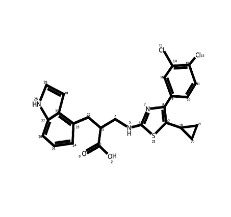 O=C(O)C(CNc1nc(-c2ccc(Cl)c(Cl)c2)c(C2CC2)s1)Cc1cccc2[nH]ccc12